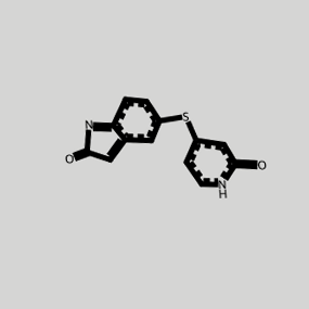 O=C1C=c2cc(Sc3cc[nH]c(=O)c3)ccc2=N1